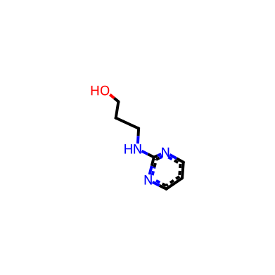 OCCCNc1ncccn1